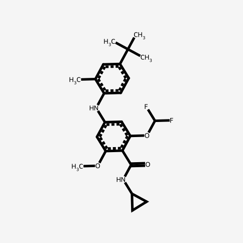 COc1cc(Nc2ccc(C(C)(C)C)cc2C)cc(OC(F)F)c1C(=O)NC1CC1